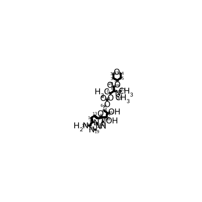 CC(OC(=O)OC[C@H]1O[C@@](C#N)(c2ccc3c(N)ncnn23)[C@H](O)[C@@H]1O)C(C(=O)OC1CCOCC1)N(C)C